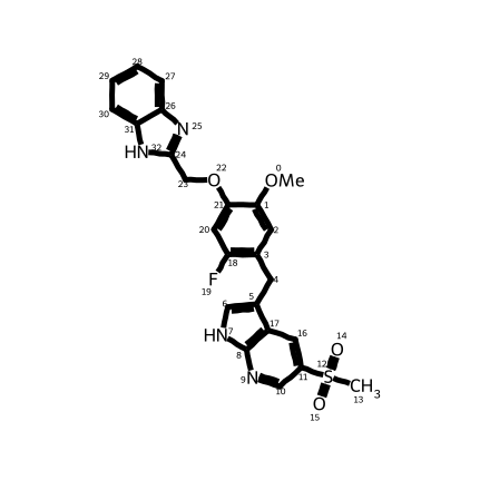 COc1cc(Cc2c[nH]c3ncc(S(C)(=O)=O)cc23)c(F)cc1OCc1nc2ccccc2[nH]1